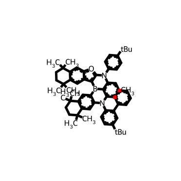 Cc1cc2c3c(c1)N(c1ccc(C(C)(C)C)cc1)c1oc4cc5c(cc4c1B3c1cc3c(cc1N2c1ccc(C(C)(C)C)cc1-c1ccccc1)C(C)(C)CCC3(C)C)C(C)(C)CCC5(C)C